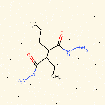 CCCC(C(=O)NN)C(CC)C(=O)NN